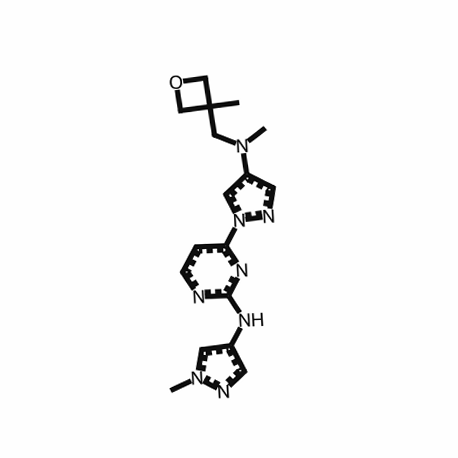 CN(CC1(C)COC1)c1cnn(-c2ccnc(Nc3cnn(C)c3)n2)c1